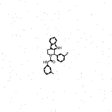 Cc1cccc(NC(=O)N2CCc3c([nH]c4ccccc34)C2c2cccc(F)c2)c1